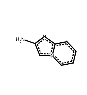 Nc1cn2ccc[c]c2n1